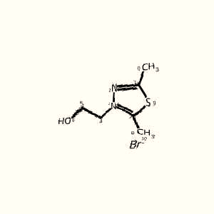 Cc1n[n+](CCO)c(C)s1.[Br-]